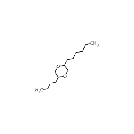 CCCCCCC1COC(CCCC)CO1